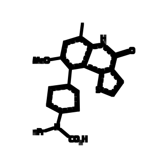 CCCN(C(=O)O)c1ccc(-c2c(OC)cc(C)c3[nH]c(=O)c4ccsc4c23)cc1